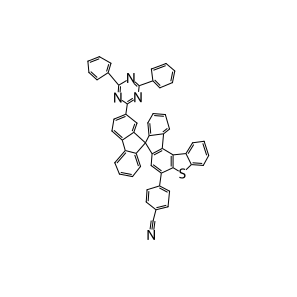 N#Cc1ccc(-c2cc3c(c4c2sc2ccccc24)-c2ccccc2C32c3ccccc3-c3ccc(-c4nc(-c5ccccc5)nc(-c5ccccc5)n4)cc32)cc1